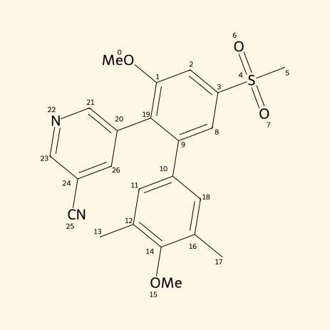 COc1cc(S(C)(=O)=O)cc(-c2cc(C)c(OC)c(C)c2)c1-c1cncc(C#N)c1